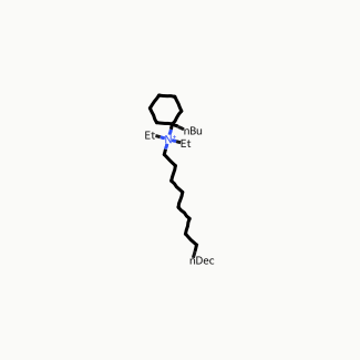 CCCCCCCCCCCCCCCCCC[N+](CC)(CC)C1(CCCC)CCCCC1